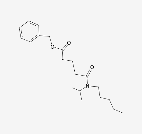 CCCCCN(C(=O)CCCC(=O)OCc1ccccc1)C(C)C